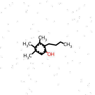 CCCCc1c(O)cc(C)c(C)c1C